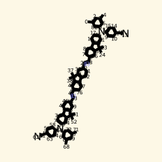 Cc1cc(C)cc(N(c2ccc(C#N)cc2)c2ccc3c(c2)C(C)(C)c2cc(/C=C/c4ccc5c(c4)C(C)(C)c4cc(/C=C/c6ccc7c(c6)C(C)(C)c6cc(N(c8ccc(C#N)cc8)c8cc(C)cc(C)c8)ccc6-7)ccc4-5)ccc2-3)c1